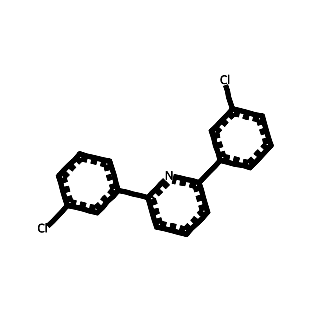 Clc1cccc(-c2cccc(-c3cccc(Cl)c3)n2)c1